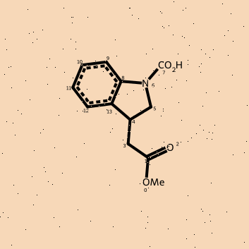 COC(=O)CC1CN(C(=O)O)c2ccccc21